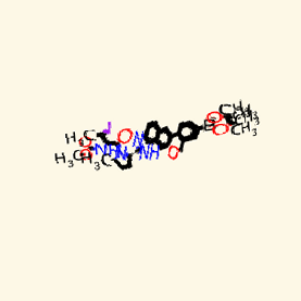 COC(=O)N[C@H](C(=O)N1[C@@H](C)CC[C@H]1c1nc2ccc3cc4c(cc3c2[nH]1)OCc1cc(B2OC(C)(C)C(C)(C)O2)ccc1-4)C(C)I